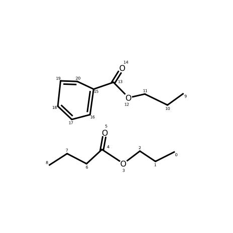 CCCOC(=O)CCC.CCCOC(=O)c1ccccc1